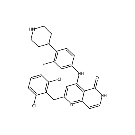 O=c1[nH]ccc2nc(Cc3c(Cl)cccc3Cl)cc(Nc3ccc(N4CCNCC4)c(F)c3)c12